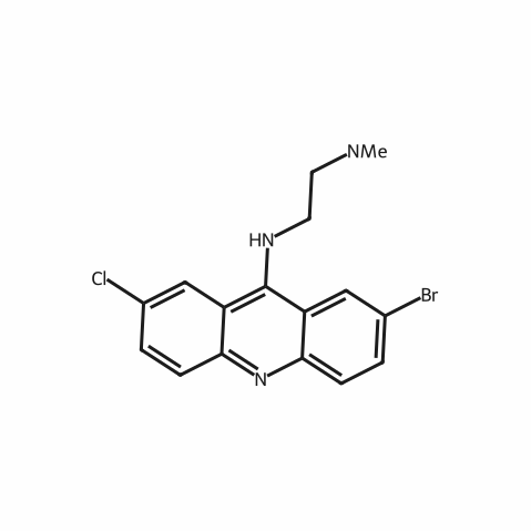 CNCCNc1c2cc(Cl)ccc2nc2ccc(Br)cc12